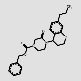 O=C(OCc1ccccc1)N1CCN(C2CCOc3cc(CCC(F)(F)F)ccc32)C(=O)C1